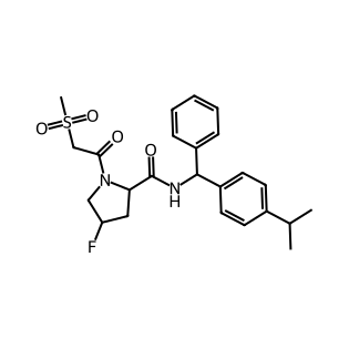 CC(C)c1ccc(C(NC(=O)C2CC(F)CN2C(=O)CS(C)(=O)=O)c2ccccc2)cc1